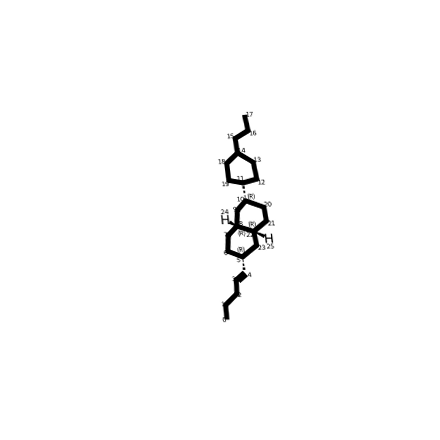 CCCC=C[C@@H]1CC[C@@H]2C[C@H](C3CCC(CCC)CC3)CC[C@@H]2C1